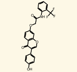 O=C(COc1ccc2c(=O)c(-c3ccc(O)cc3)coc2c1)Nc1ccccc1C(F)(F)F